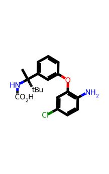 CC(C)(C)C(C)(NC(=O)O)c1cccc(Oc2cc(Cl)ccc2N)c1